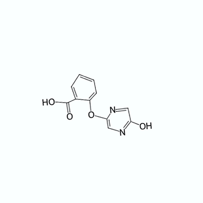 O=C(O)c1ccccc1Oc1cnc(O)cn1